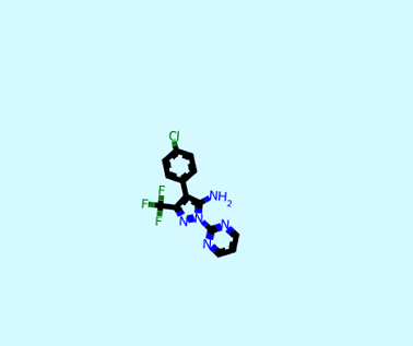 Nc1c(-c2ccc(Cl)cc2)c(C(F)(F)F)nn1-c1ncccn1